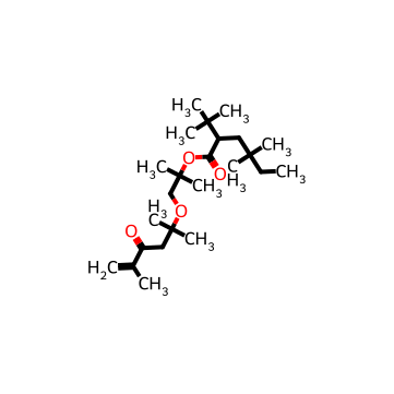 C=C(C)C(=O)CC(C)(C)OCC(C)(C)OC(=O)C(CC(C)(C)CC)C(C)(C)C